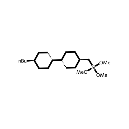 CCCC[C@H]1CC[C@H]([C@H]2CC[C@H](C[Si](OC)(OC)OC)CC2)CC1